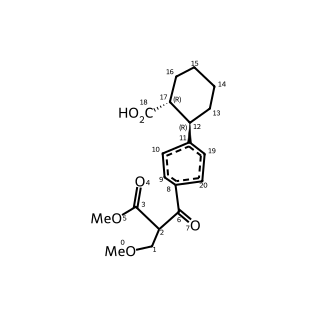 COCC(C(=O)OC)C(=O)c1ccc([C@@H]2CCCC[C@H]2C(=O)O)cc1